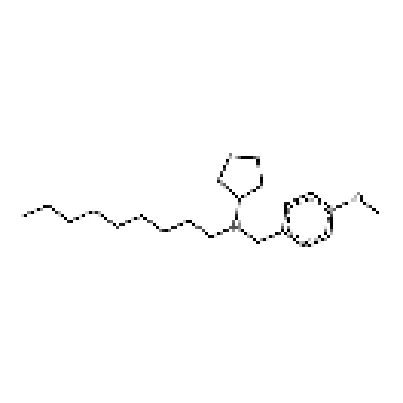 CCCCCCCCCN(Cc1ccc(OC)cc1)C1CCCC1